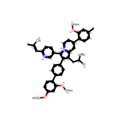 CCCCCCOc1ccc(-c2ccc(-c3c(CC(CC)CCCC)c4cc(-c5ccc(C)cc5OCCCCCC)ccn4c3-c3ccc(/C=C(/C)C#N)nc3)cc2)c(OCCCCCC)c1